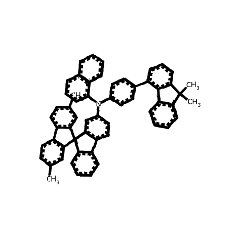 Cc1ccc2c(c1)C1(c3ccccc3-c3ccc(N(c4ccc(-c5cccc6c5-c5ccccc5C6(C)C)cc4)c4cccc5ccccc45)cc31)c1cc(C)ccc1-2